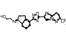 OCC/N=C1\CCc2c1cccc2-c1noc(-c2cn3nc(C(F)(F)F)ccc3n2)n1